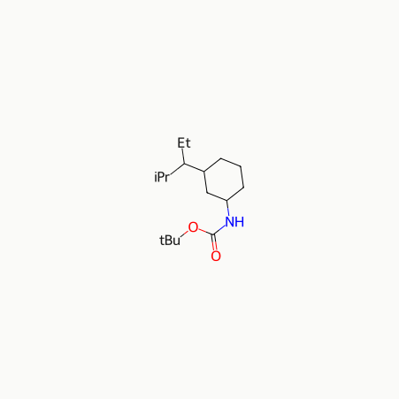 CCC(C(C)C)C1CCCC(NC(=O)OC(C)(C)C)C1